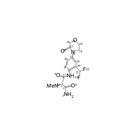 CN[C@H](C(N)=O)C(=O)Nc1ccc(N2CCOCC2=O)cc1C(F)F